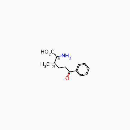 C[C@@H](CCC(=O)c1ccccc1)[C@H](N)C(=O)O